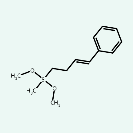 CO[Si](C)(CCC=Cc1ccccc1)OC